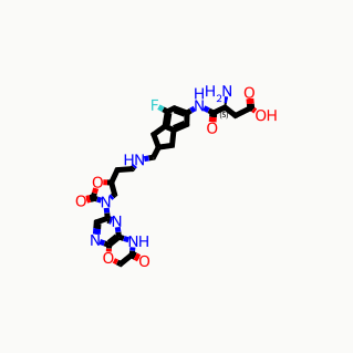 N[C@@H](CC(=O)O)C(=O)Nc1cc(F)c2c(c1)CC(CNCCC1CN(c3cnc4c(n3)NC(=O)CO4)C(=O)O1)C2